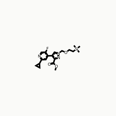 COC(=O)c1nn(COCC[Si](C)(C)C)cc1-c1cc(C2CC2)ncc1F